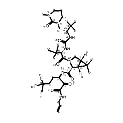 C=CCNC(=O)C(=O)C(CCC(F)(F)F)NC(=O)[C@@H]1[C@@H]2[C@H](CN1C(=O)[C@@H](NC(=O)N[C@H](CN1CCCN(C)C1=O)C(C)(C)C)C(C)(C)C)C2(C)C